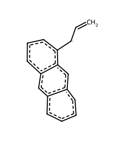 C=C[CH]c1cccc2cc3ccccc3cc12